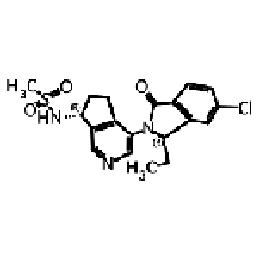 CC[C@@H]1c2cc(Cl)ccc2C(=O)N1c1cncc2c1CC[C@H]2NS(C)(=O)=O